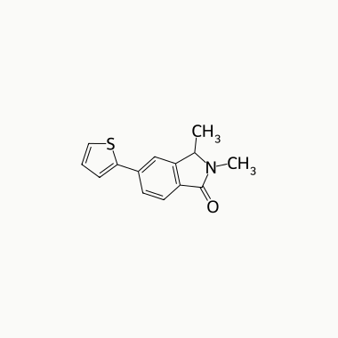 CC1c2cc(-c3cccs3)ccc2C(=O)N1C